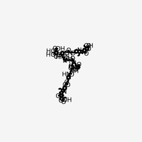 CCc1c2c(nc3ccc(OCNC(=O)OCc4ccc(O[C@@H]5C[C@H](C(=O)O)[C@@H](O)[C@H](O)[C@H]5O)c(NC(=O)CN(C)C(=O)CCNC(=O)CN(CCN5C(=O)C=CC5=O)CC(=O)NCC(=O)NCC(=O)Nc5ccc(COC(=O)Oc6ccc7nc8c(c(CC)c7c6)Cn6c-8cc7c(c6=O)COC(=O)[C@]7(O)CC)cc5)c4)cc13)-c1cc3c(c(=O)n1C2)COC(=O)[C@]3(O)CC